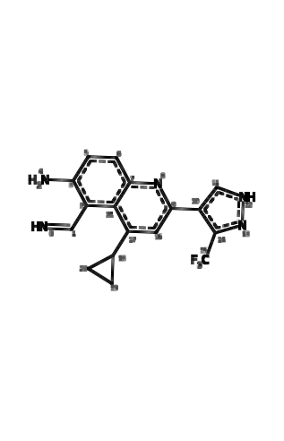 N=Cc1c(N)ccc2nc(-c3c[nH]nc3C(F)(F)F)cc(C3CC3)c12